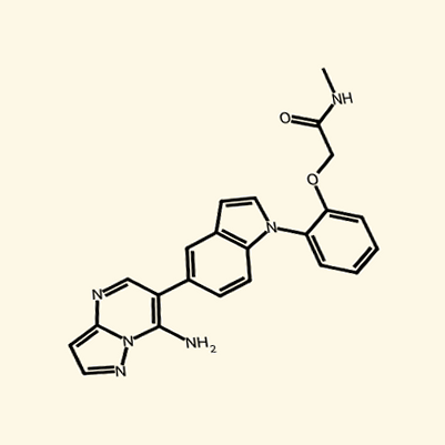 CNC(=O)COc1ccccc1-n1ccc2cc(-c3cnc4ccnn4c3N)ccc21